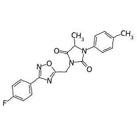 Cc1ccc(N2C(=O)N(Cc3nc(-c4ccc(F)cc4)no3)C(=O)C2C)cc1